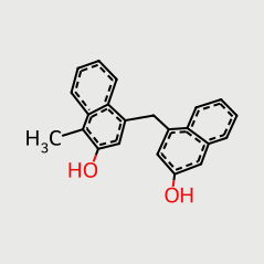 Cc1c(O)cc(Cc2cc(O)cc3ccccc23)c2ccccc12